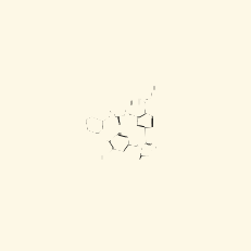 CC(C)CNc1ccc(-c2noc(=O)n2-c2ccc(F)c(Br)c2)cc1NC(=O)NC1CCCCC1